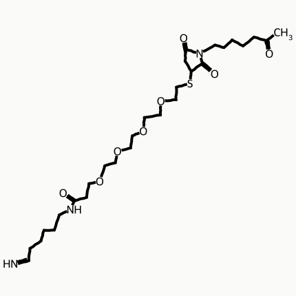 CC(=O)CCCCCN1C(=O)CC(SCCOCCOCCOCCOCCC(=O)NCCCCCC=N)C1=O